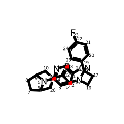 N#Cc1ccc(N2C3CCC2CN(C(=O)CN2CCC2c2ccc(F)cc2)C3)nc1